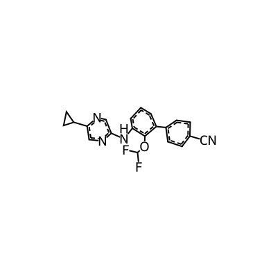 N#Cc1ccc(-c2cccc(Nc3cnc(C4CC4)cn3)c2OC(F)F)cc1